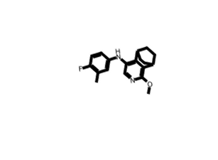 COc1ncc(Nc2ccc(F)c(C)c2)c2c1C1CCC2CC1